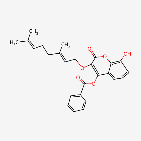 CC(C)=CCC/C(C)=C/COc1c(OC(=O)c2ccccc2)c2cccc(O)c2oc1=O